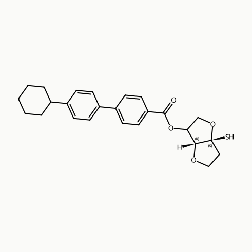 O=C(OC1CO[C@]2(S)CCO[C@H]12)c1ccc(-c2ccc(C3CCCCC3)cc2)cc1